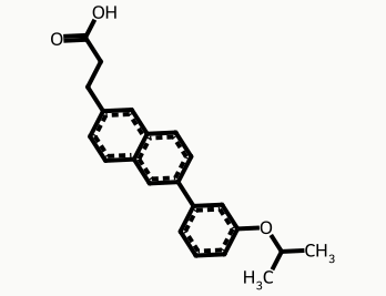 CC(C)Oc1cccc(-c2ccc3cc(CCC(=O)O)ccc3c2)c1